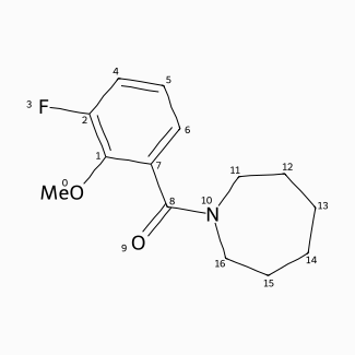 COc1c(F)cccc1C(=O)N1CCCCCC1